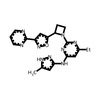 CCc1cc(Nc2cc(C)[nH]n2)nc(N2CCC2c2cc(-c3ncccn3)no2)n1